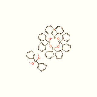 CO[Si](OC)(c1ccccc1)c1ccccc1.c1ccc([Si]2(c3ccccc3)O[Si](c3ccccc3)(c3ccccc3)O[Si](c3ccccc3)(c3ccccc3)O[Si](c3ccccc3)(c3ccccc3)O2)cc1